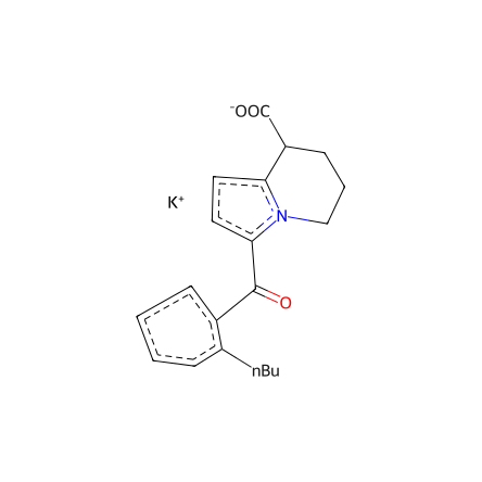 CCCCc1ccccc1C(=O)c1ccc2n1CCCC2C(=O)[O-].[K+]